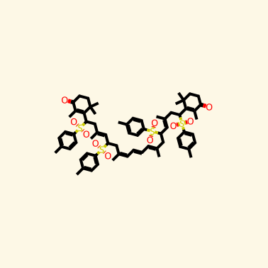 CC(=CC=CC=C(C)CC(C=C(C)CC(C1=C(C)C(=O)CCC1(C)C)S(=O)(=O)c1ccc(C)cc1)S(=O)(=O)c1ccc(C)cc1)CC(C=C(C)CC(C1=C(C)C(=O)CCC1(C)C)S(=O)(=O)c1ccc(C)cc1)S(=O)(=O)c1ccc(C)cc1